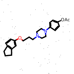 CC(=O)Oc1ccc(N2CCN(CCCOc3ccc4c(c3)CCC4)CC2)cc1